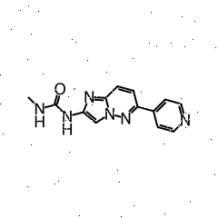 CNC(=O)Nc1cn2nc(-c3ccncc3)ccc2n1